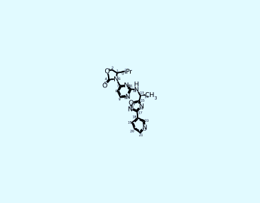 CC(C)C1COC(=O)N1c1ccnc(N[C@@H](C)c2nc(-c3cccnc3)no2)n1